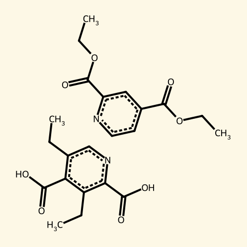 CCOC(=O)c1ccnc(C(=O)OCC)c1.CCc1cnc(C(=O)O)c(CC)c1C(=O)O